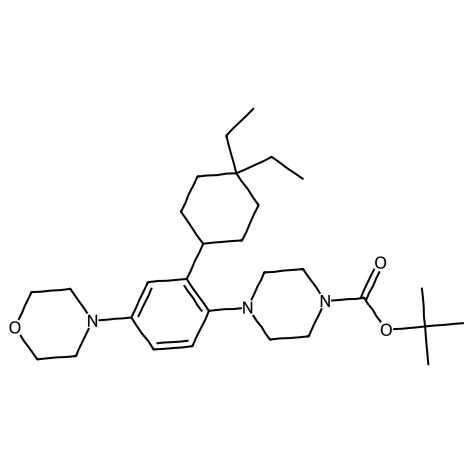 CCC1(CC)CCC(c2cc(N3CCOCC3)ccc2N2CCN(C(=O)OC(C)(C)C)CC2)CC1